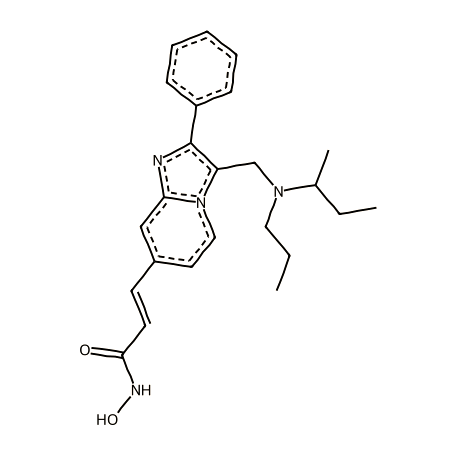 CCCN(Cc1c(-c2ccccc2)nc2cc(/C=C/C(=O)NO)ccn12)C(C)CC